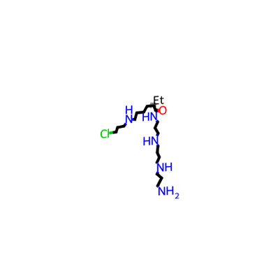 CC[C@H](CCCCNCCCCl)C(=O)NCCCNCCCCNCCCN